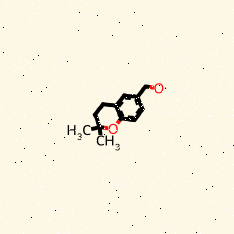 CC1(C)CCc2cc(C[O])ccc2O1